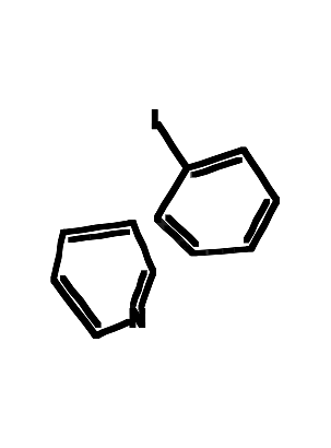 Ic1ccccc1.c1ccncc1